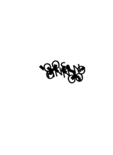 CCOC(=O)C(=O)Nc1nc(C(=NOC)C(=O)OC)cs1